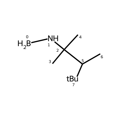 BNC(C)(C)C(C)C(C)(C)C